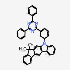 CC1(C)c2ccccc2-c2cc3c4ccccc4n(C4C=CC=C(c5nc(-c6ccccc6)nc(-c6ccccc6)n5)C4)c3cc21